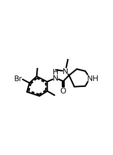 Cc1ccc(Br)c(C)c1NC(=O)C1(N(C)C)CCNCC1